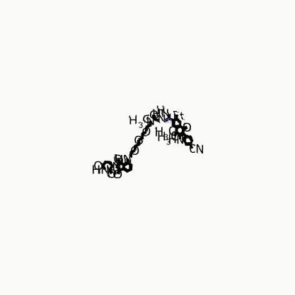 CCc1cc2c(cc1/C(C=N)=C/NCC(=O)N(C)CCOCCOCCOCCNc1cccc3c1C(=O)N(C1CCC(=O)NC1=O)C3=O)C(C)(C)c1[nH]c3cc(C#N)ccc3c1C2=O